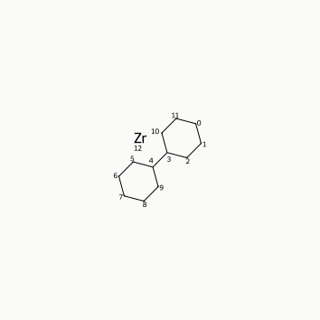 C1CCC(C2CCCCC2)CC1.[Zr]